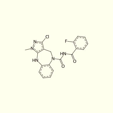 Cn1nc(Cl)c2c1Nc1ccccc1N(C(=O)NC(=O)c1ccccc1F)C2